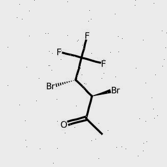 CC(=O)[C@H](Br)[C@H](Br)C(F)(F)F